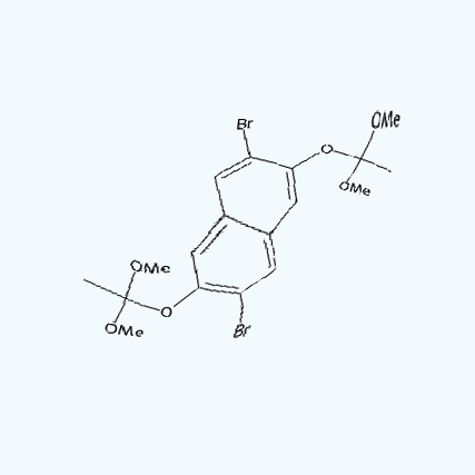 COC(C)(OC)Oc1cc2cc(Br)c(OC(C)(OC)OC)cc2cc1Br